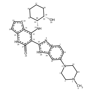 CN1CCN(c2ccc3nc(-c4c(N[C@@H]5CCCC[C@@H]5O)c5sccc5[nH]c4=O)[nH]c3c2)CC1